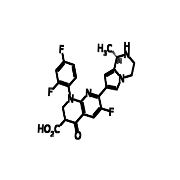 C[C@@H]1NCCn2cc(-c3nc4c(cc3F)C(=O)C(C(=O)O)CN4c3ccc(F)cc3F)cc21